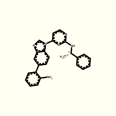 C[C@H](Nc1nccc(-n2cnc3cc(-c4ccccc4N)ccc32)n1)c1ccccc1